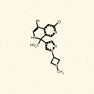 CC(C)C1=CNC(C(=O)O)(c2cnn(C3CN(C)C3)c2)c2cnc(Cl)cc21